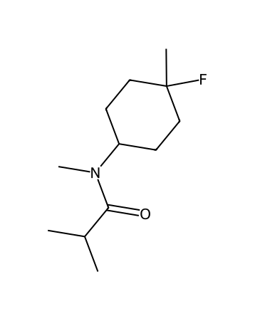 CC(C)C(=O)N(C)C1CCC(C)(F)CC1